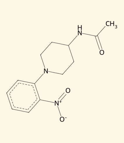 CC(=O)NC1CCN(c2ccccc2[N+](=O)[O-])CC1